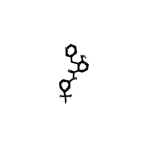 Nc1cccc(C(=O)Nc2cccc(C(F)(F)F)c2)c1Cc1cccnc1